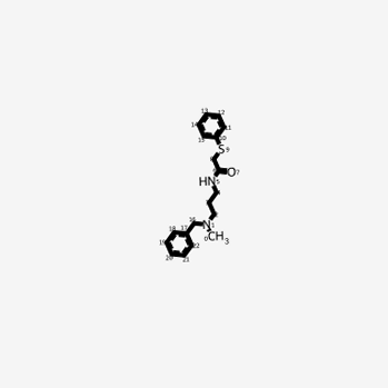 CN(CCCNC(=O)CSc1ccccc1)Cc1ccccc1